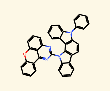 c1ccc(-n2c3ccccc3c3c2ccc2c4ccccc4n(-c4nc5c6c(cccc6n4)Oc4ccccc4-5)c23)cc1